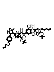 C=CCCCN(CC(=O)Nc1c(Cl)cc(CN/C(=N/C(=O)c2c(-c3ccc(OCC=C)cc3)nsc2C)NC(=O)OC(C)(C)C)cc1Cl)C(=O)OC(C)(C)C